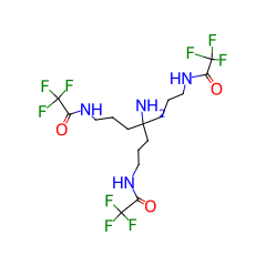 NC(CCCNC(=O)C(F)(F)F)(CCCNC(=O)C(F)(F)F)CCCNC(=O)C(F)(F)F